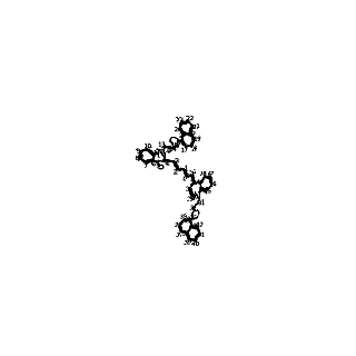 C(=C/C=C/c1sc2ccccc2[n+]1CCOc1cccc2ccccc12)C=C1C=CN(CCOc2cccc3ccccc23)c2ccccc21